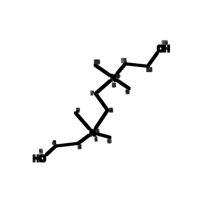 C[N+](C)(CCO)CC[N+](C)(C)CCO